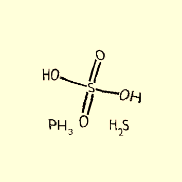 O=S(=O)(O)O.P.S